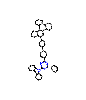 c1ccc(-c2nc(-c3ccc(-c4ccc(-c5cc6c7ccccc7c7ccccc7c6c6ccccc56)cc4)cc3)nc(-n3c4ccccc4c4ccccc43)n2)cc1